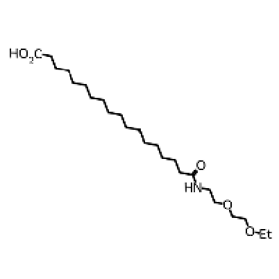 CCOCCOCCNC(=O)CCCCCCCCCCCCCCCCC(=O)O